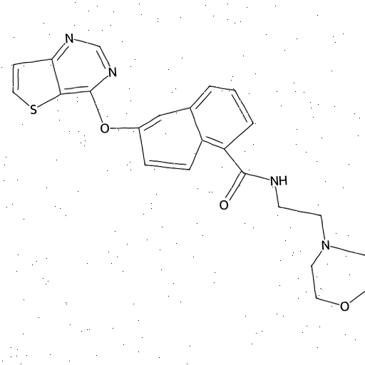 O=C(NCCN1CCOCC1)c1cccc2cc(Oc3ncnc4ccsc34)ccc12